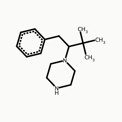 CC(C)(C)C(Cc1ccccc1)N1CCNCC1